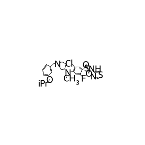 CC(C)Oc1cccc(CN2CCC(N(C)c3cc(F)c(S(=O)(=O)Nc4cscn4)cc3Cl)C2)c1